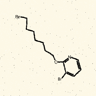 BrCCCCCCCOc1ncccc1Br